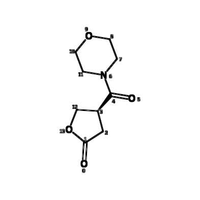 O=C1C[C@H](C(=O)N2CCOCC2)CO1